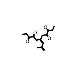 C=C(C)C=C(CC(=O)C(=O)CC)CC(=O)C(=O)CC